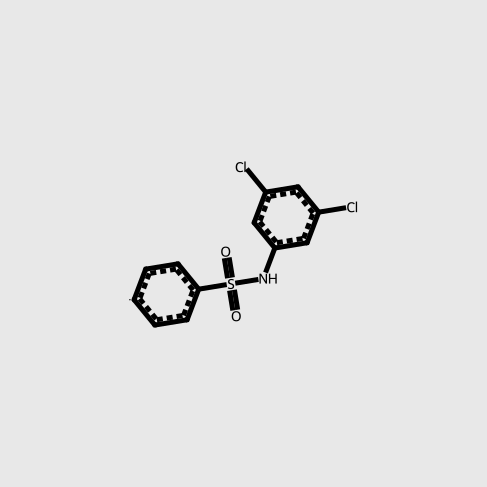 O=S(=O)(Nc1cc(Cl)cc(Cl)c1)c1cc[c]cc1